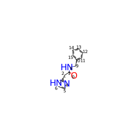 O=C([CH]c1ncc[nH]1)NCc1ccccc1